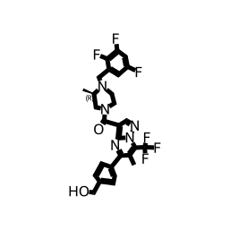 Cc1c(-c2ccc(CO)cc2)nc2c(C(=O)N3CCN(Cc4cc(F)cc(F)c4F)[C@H](C)C3)cnn2c1C(F)(F)F